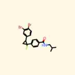 CC(C)CNC(=O)c1ccc(C2(F)CC2c2ccc(Br)c(Br)c2)cc1